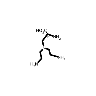 NCCN(CCN)C[C@@H](N)C(=O)O